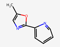 Cc1cnc(-c2ccccn2)o1